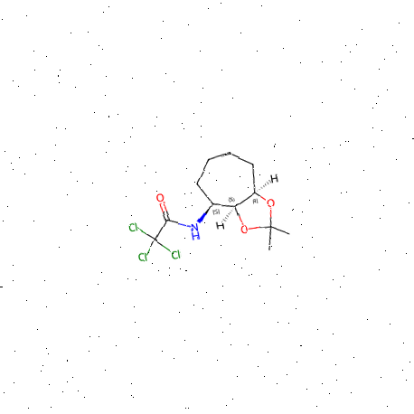 CC1(C)O[C@H]2[C@@H](NC(=O)C(Cl)(Cl)Cl)CCCC[C@H]2O1